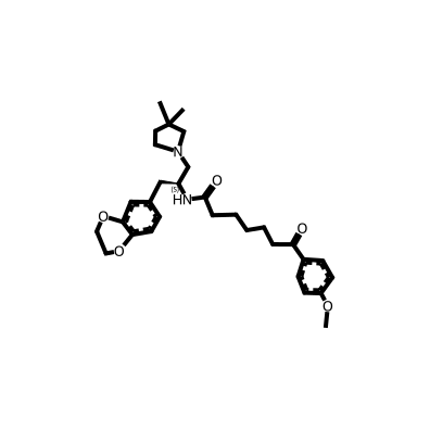 COc1ccc(C(=O)CCCCCC(=O)N[C@@H](Cc2ccc3c(c2)OCCO3)CN2CCC(C)(C)C2)cc1